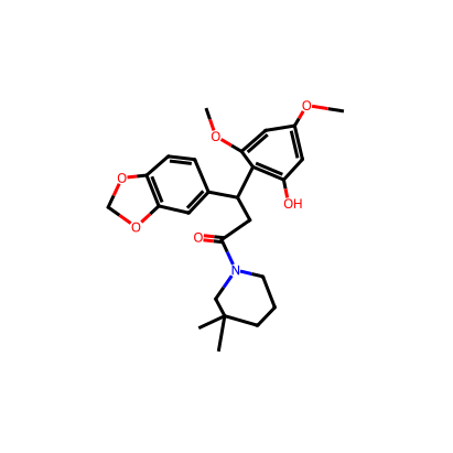 COc1cc(O)c(C(CC(=O)N2CCCC(C)(C)C2)c2ccc3c(c2)OCO3)c(OC)c1